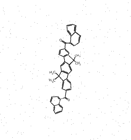 CC1(C)c2cc(C(=O)c3cccc4ccccc34)ccc2-c2cc3c(cc21)-c1ccc(C(=O)c2cccc4ccccc24)cc1C3(C)C